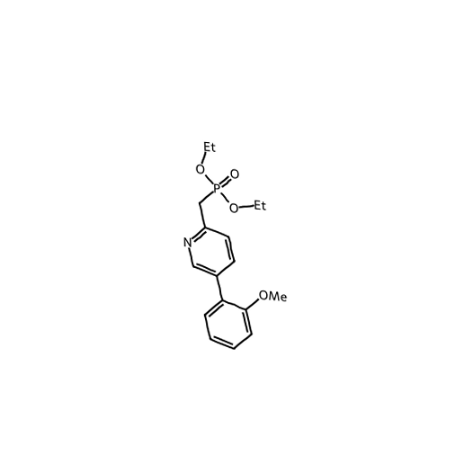 CCOP(=O)(Cc1ccc(-c2ccccc2OC)cn1)OCC